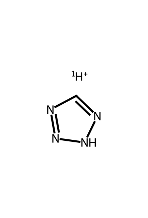 [1H+].c1nn[nH]n1